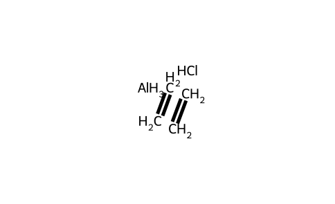 C=C.C=C.Cl.[AlH3]